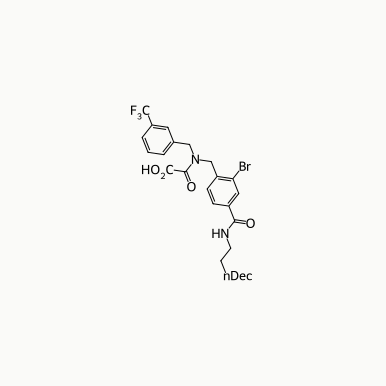 CCCCCCCCCCCCNC(=O)c1ccc(CN(Cc2cccc(C(F)(F)F)c2)C(=O)C(=O)O)c(Br)c1